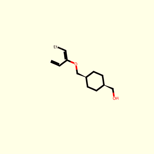 C=CC(=CCC)OC[C@H]1CC[C@@H](CO)CC1